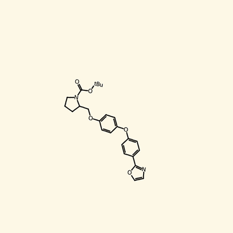 CC(C)(C)OC(=O)N1CCCC1COc1ccc(Oc2ccc(-c3ncco3)cc2)cc1